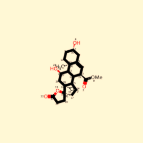 COC(=O)[C@@H]1C=C2C[C@@H](O)CC[C@]2(C)C2C1C1CC[C@@]3(CCC(=O)O3)[C@@]1(C)C[C@H]2O